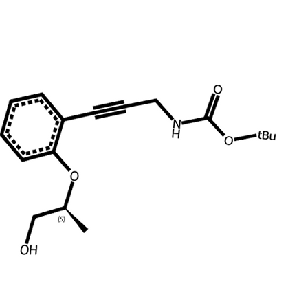 C[C@@H](CO)Oc1ccccc1C#CCNC(=O)OC(C)(C)C